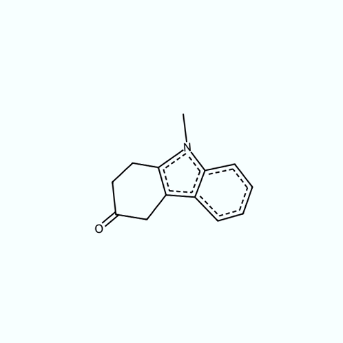 Cn1c2c(c3ccccc31)CC(=O)CC2